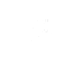 C[C@H](C(=O)O)C1(N)CCCCC1